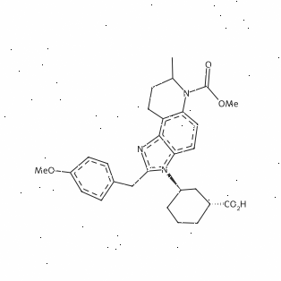 COC(=O)N1c2ccc3c(nc(Cc4ccc(OC)cc4)n3[C@@H]3CCC[C@@H](C(=O)O)C3)c2CCC1C